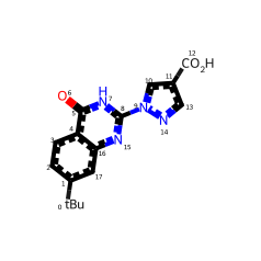 CC(C)(C)c1ccc2c(=O)[nH]c(-n3cc(C(=O)O)cn3)nc2c1